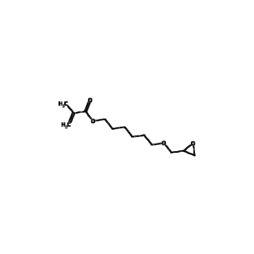 C=C(C)C(=O)OCCCCCCOCC1CO1